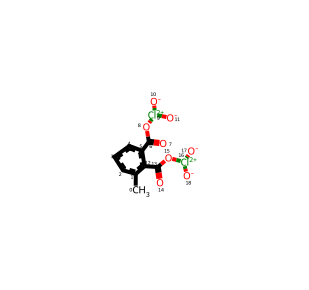 Cc1cccc(C(=O)O[Cl+2]([O-])[O-])c1C(=O)O[Cl+2]([O-])[O-]